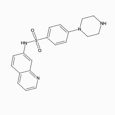 O=S(=O)(Nc1ccc2cccnc2c1)c1ccc(N2CCNCC2)cc1